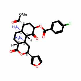 COC(=O)[C@@H]1CC(OC(=O)c2ccc(Cl)cc2)C(=O)[C@H]2[C@@]1(N)CC[C@H]1C(=O)O[C@H](c3ccoc3)C[C@]21N